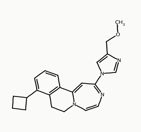 COCc1cn(C2=NC=CN3CCc4c(cccc4C4CCC4)C3=C2)cn1